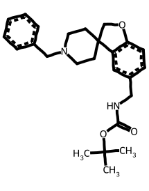 CC(C)(C)OC(=O)NCc1ccc2c(c1)C1(CCN(Cc3ccccc3)CC1)CO2